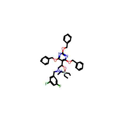 CC[Si](CC)(CC)OC(CNCc1cc(F)cc(F)c1)c1c(OCc2ccccc2)nc(OCc2ccccc2)nc1OCc1ccccc1